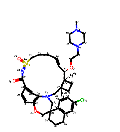 CN1CCN(CCO[C@H]2/C=C/CCC/[SH](=O)=N\C(=O)c3ccc4c(c3)N(C[C@H]3CC[C@@H]32)C[C@@]2(CCCc3cc(Cl)ccc32)CO4)CC1